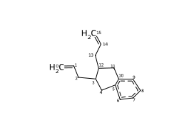 C=CCC1Cc2ccccc2CC1CC=C